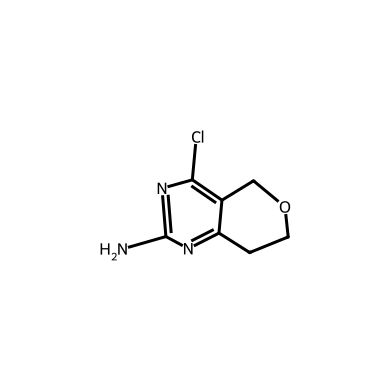 Nc1nc(Cl)c2c(n1)CCOC2